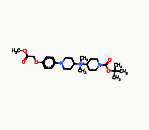 COC(=O)COc1ccc(N2CCC([N+](C)(C)C3CCN(C(=O)OC(C)(C)C)CC3)CC2)cc1